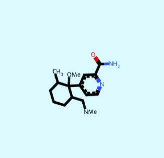 CNCC1CCCC(C)C1(OC)c1ccnc(C(N)=O)c1